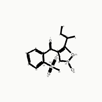 CCC(C)C1=C(C(=O)c2ccccc2S(C)(=O)=O)CN(Cl)O1